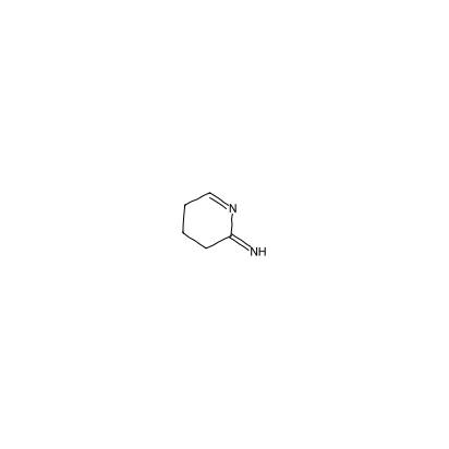 N=C1CCCC=N1